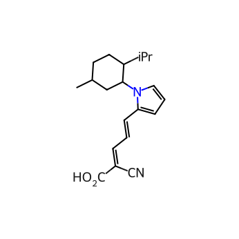 CC1CCC(C(C)C)C(n2cccc2/C=C/C=C(\C#N)C(=O)O)C1